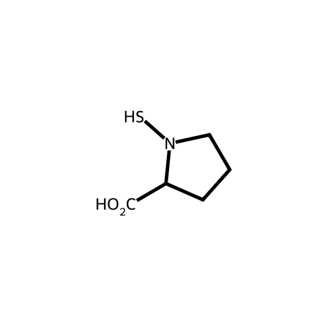 O=C(O)C1CCCN1S